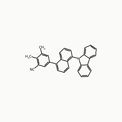 Cc1cc(-c2cccc3c(-n4c5ccccc5c5ccccc54)cccc23)cc(C#N)c1C